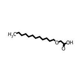 CCCCCCCCCCCCOCC(=O)O